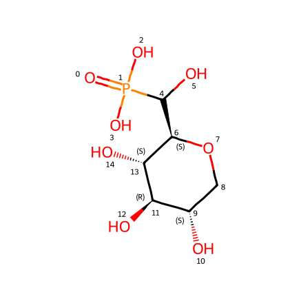 O=P(O)(O)C(O)[C@H]1OC[C@H](O)[C@@H](O)[C@@H]1O